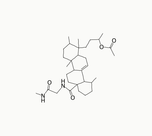 CNC(=O)CNC(=O)C12CCCC(C)C1C1=CCC3C(C)(CCC(C)OC(C)=O)C(C)CCC3(C)C1CC2